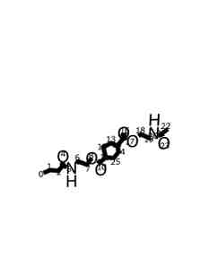 CCCC(=O)NCCOC(=O)C1CCC(C(=O)OCCNC(C)=O)CC1